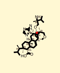 CC(C)[C@@H](C)[C@@]1(C)CC[C@]2(C)[C@H]3CC[C@@H]4[C@@]5(COC[C@]4(C)[C@@H](OC[C@](C)(N)C(C)C)[C@H](n4ncnc4N)C5)C3=CC[C@@]2(C)[C@@H]1C(=O)O